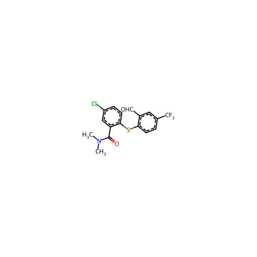 CN(C)C(=O)c1cc(Cl)ccc1Sc1ccc(C(F)(F)F)cc1C=O